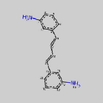 Nc1cccc(C=CC=Cc2cccc(N)c2)c1